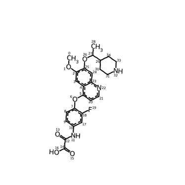 COc1cc2c(Oc3ccc(NC(=O)C(=O)O)cc3F)ccnc2cc1OC(C)C1CCNCC1